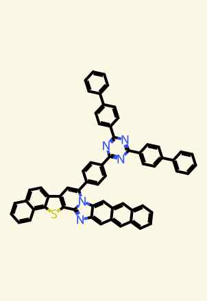 c1ccc(-c2ccc(-c3nc(-c4ccc(-c5ccccc5)cc4)nc(-c4ccc(-c5cc6c7ccc8ccccc8c7sc6c6nc7cc8cc9ccccc9cc8cc7n56)cc4)n3)cc2)cc1